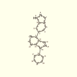 [c]1nc(-c2ccc3cn[nH]c3c2)c2nnn(-c3ccccc3)c2n1